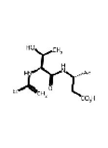 C=C(CC)N[C@H](C(=O)N[C@@H](CC(=O)O)C(C)=O)C(C)O